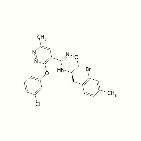 Cc1ccc(C[C@@H]2CON=C(c3cc(C)nnc3Oc3cccc(Cl)c3)N2)c(Br)c1